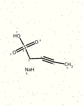 CC#CCS(=O)(=O)O.[NaH]